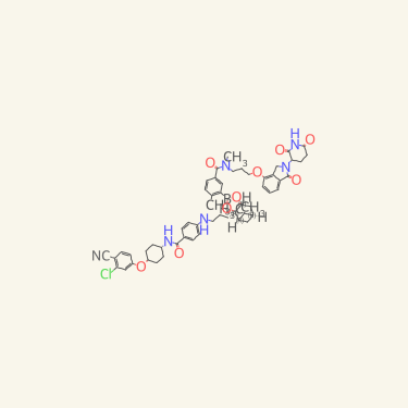 Cc1ccc(C(=O)N(C)CCCOc2cccc3c2CN(C2CCC(=O)NC2=O)C3=O)cc1B1O[C@H]2C[C@H]3C[C@H](C3(C)C)[C@@]2(CCCNc2ccc(C(=O)N[C@H]3CC[C@H](Oc4ccc(C#N)c(Cl)c4)CC3)cc2)O1